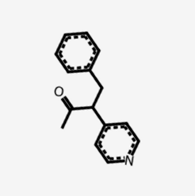 CC(=O)C(Cc1ccccc1)c1ccncc1